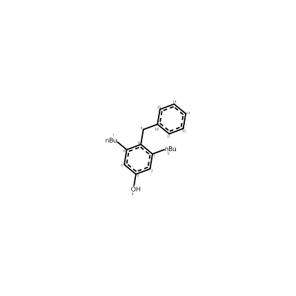 CCCCc1cc(O)cc(CCCC)c1Cc1ccccc1